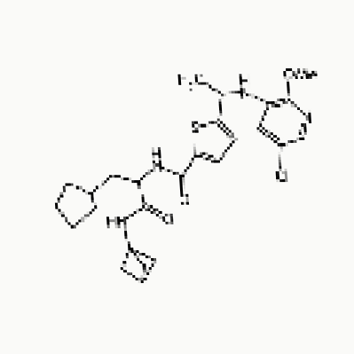 COc1ncc(Cl)cc1NC(C)c1ccc(C(=O)NC(CC2CCCC2)C(=O)NC23CC(C2)C3)s1